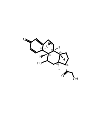 C[C@]12CC(O)[C@H]3[C@@H](CCC4=CC(=O)C=C[C@@]43CO)[C@@H]1CC[C@@H]2C(=O)CO